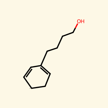 OCCCCC1=CC[CH]C=C1